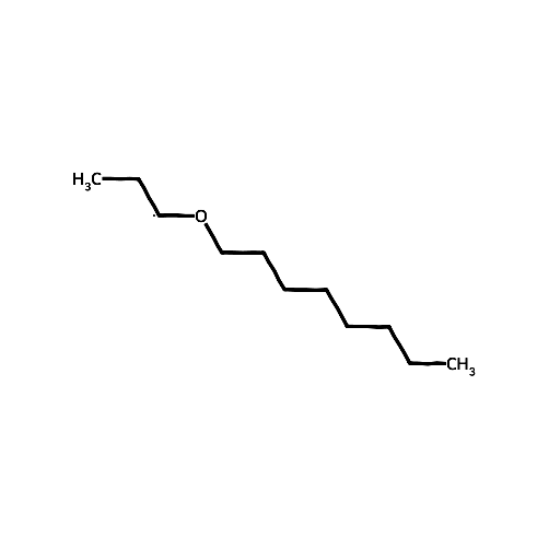 CC[CH]OCCCCCCCC